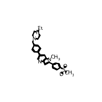 CCN1CCN(Cc2ccc(-c3cnc4cc(-c5ccc(S(C)(=O)=O)cc5)n(C)c4c3)cc2)CC1